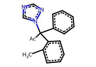 CC(=O)C(c1ccccc1)(c1ccccc1C)n1cncn1